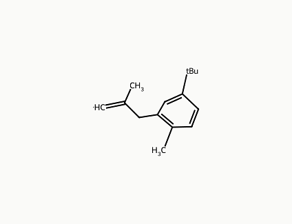 [CH]=C(C)Cc1cc(C(C)(C)C)ccc1C